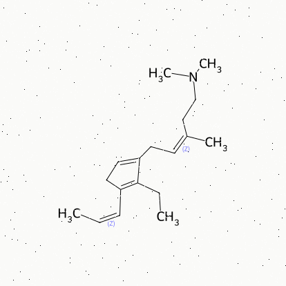 C/C=C\C1=C(CC)C(C/C=C(/C)CCN(C)C)=CC1